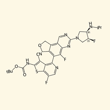 CC(C)N[C@@H]1CN(c2ncc3c4c(c(-c5ncc(F)c6sc(NC(=O)OC(C)(C)C)c(C#N)c56)c(F)c3n2)COC4)C[C@@H]1F